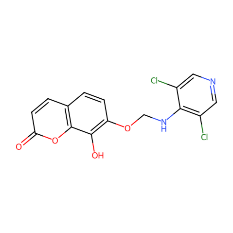 O=c1ccc2ccc(OCNc3c(Cl)cncc3Cl)c(O)c2o1